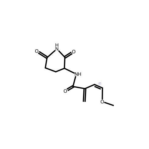 C=C(/C=C\OC)C(=O)NC1CCC(=O)NC1=O